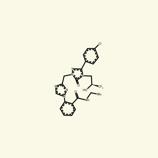 CC(C)(C)CNC(=O)c1ccccc1-n1cnc(Cn2nc(-c3ccc(Cl)cc3)n(C[C@H](O)C(F)(F)F)c2=O)n1